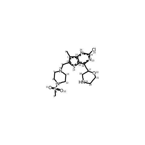 Cc1c(CN2CCN(S(C)(=O)=O)CC2)sc2c(C3CNCCO3)nc(Cl)nc12